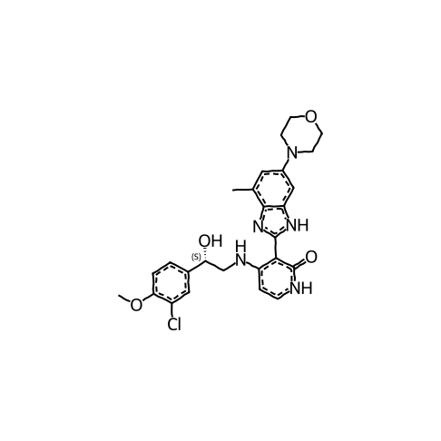 COc1ccc([C@H](O)CNc2cc[nH]c(=O)c2-c2nc3c(C)cc(N4CCOCC4)cc3[nH]2)cc1Cl